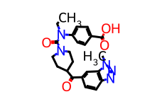 CCN(C(=O)N1CCC(C(=O)c2ccc3nnn(C)c3c2)CC1)c1ccc(C(=O)O)cc1